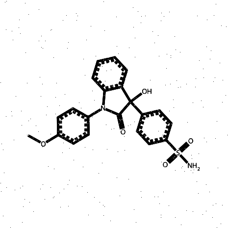 COc1ccc(N2C(=O)C(O)(c3ccc(S(N)(=O)=O)cc3)c3ccccc32)cc1